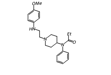 CCC(=O)N(c1ccccc1)C1CCN(CCNc2ccc(OC)cc2)CC1